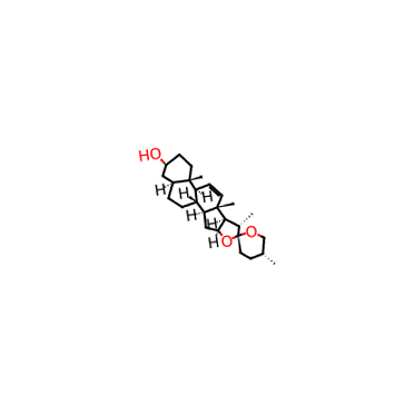 C[C@@H]1CC[C@@]2(OC1)O[C@H]1C[C@H]3[C@@H]4CC[C@H]5C[C@@H](O)CC[C@]5(C)[C@H]4C=C[C@]3(C)[C@H]1[C@@H]2C